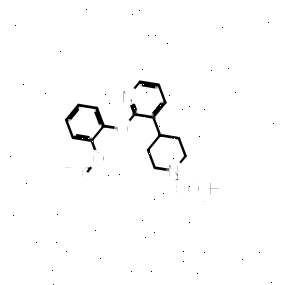 O=C(O)N1CCC(c2cccnc2Oc2ccccc2OC(F)(F)F)CC1